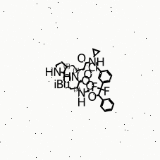 CCC(C)C[C@H](NC(=O)OC(c1ccccc1)C(F)(F)c1cccc(Cl)c1)C(=O)N[C@@H](C[C@@H]1CCNC1=O)C(=O)C(=O)NC1CC1